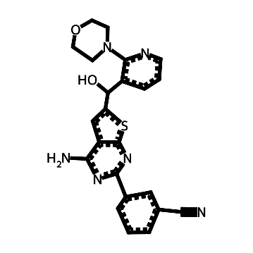 N#Cc1cccc(-c2nc(N)c3cc(C(O)c4cccnc4N4CCOCC4)sc3n2)c1